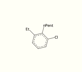 C[CH]CCCc1c(Cl)cccc1CC